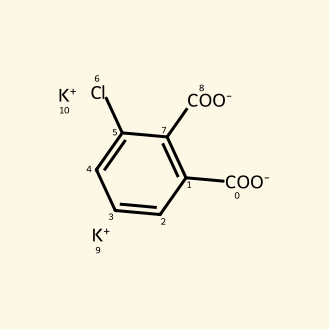 O=C([O-])c1cccc(Cl)c1C(=O)[O-].[K+].[K+]